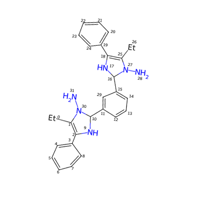 CCC1=C(c2ccccc2)NC(c2cccc(C3NC(c4ccccc4)=C(CC)N3N)c2)N1N